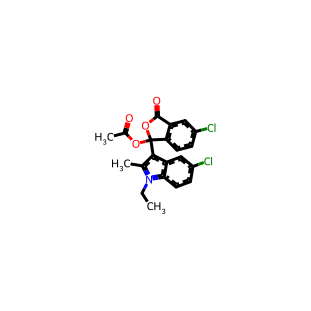 CCn1c(C)c(C2(OC(C)=O)OC(=O)c3cc(Cl)ccc32)c2cc(Cl)ccc21